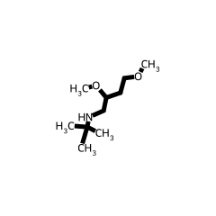 COCCC(CNC(C)(C)C)OC